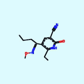 CCCC(=NOC)c1cc(C#N)c(=O)[nH]c1CC